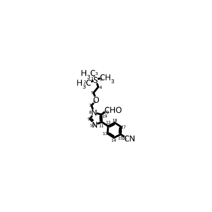 CS(C)(C)CCOCn1cnc(-c2ccc(C#N)cc2)c1C=O